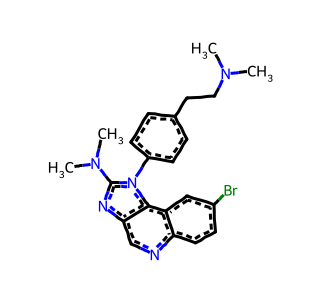 CN(C)CCc1ccc(-n2c(N(C)C)nc3cnc4ccc(Br)cc4c32)cc1